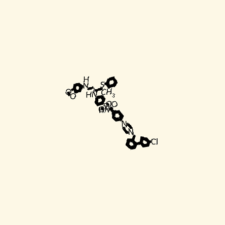 Cc1cc(S(=O)(=O)NC(=O)c2ccc(N3CCN(Cc4ccccc4-c4ccc(Cl)cc4)CC3)cc2)ccc1N[C@H](CCNc1ccc2c(c1)OCO2)CSc1ccccc1